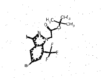 CC(C)(C)OC(=O)Cn1nc(I)c2cc(Br)cc(C(F)(F)F)c21